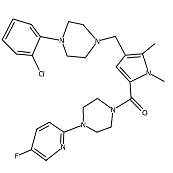 Cc1c(CN2CCN(c3ccccc3Cl)CC2)cc(C(=O)N2CCN(c3ccc(F)cn3)CC2)n1C